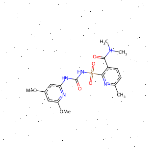 COc1cc(NC(=O)NS(=O)(=O)c2nc(C)ccc2C(=O)N(C)C)nc(OC)c1